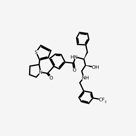 O=C(N[C@@H](Cc1ccccc1)[C@@H](O)CNCc1cccc(C(F)(F)F)c1)c1cccc(C(=O)N2CCCC2c2cccs2)c1